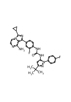 CC(C)(C)c1cc(NC(=O)Nc2ccc(-c3nc(C4CC4)n4ccnc(N)c34)cc2F)n(-c2ccc(F)cc2)n1